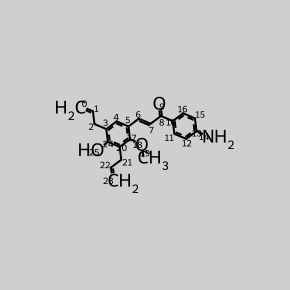 C=CCc1cc(C=CC(=O)c2ccc(N)cc2)c(OC)c(CC=C)c1O